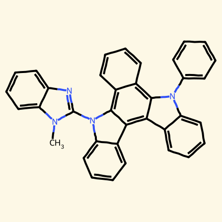 Cn1c(-n2c3ccccc3c3c4c5ccccc5n(-c5ccccc5)c4c4ccccc4c32)nc2ccccc21